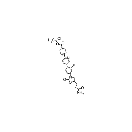 CC(Cl)OC(=O)N1CCN(c2ccc(-c3ccc(N4CC(CCC(N)=O)OC4=O)cc3F)cn2)CC1